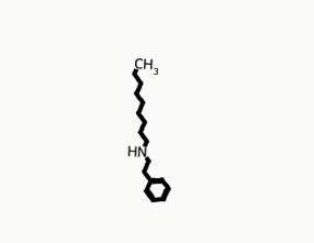 CCCCCCCCCNCCc1ccccc1